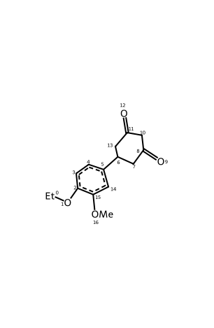 CCOc1ccc(C2CC(=O)CC(=O)C2)cc1OC